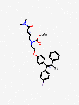 CC/C(=C(\c1ccc(I)cc1)c1ccc(OCCN(C/C=C/C(=O)N(C)C)C(=O)OC(C)(C)C)cc1)c1ccccc1